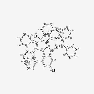 CCc1cc(-c2ccccc2)c2c(c1)=[C]([Zr]=[C](c1ccccc1)c1ccccc1)C1=C(C3=CC=CC3)C(CC)(c3ccccc3)C(c3ccccc3)=C(c3ccccc3)C=21